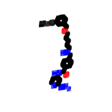 COc1cccc(COCCCCCNCc2ccc(C(=O)Nc3ccnc(N)c3)cc2)c1